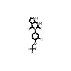 O=c1c2cc[nH]c2[nH]c(=S)n1-c1ccc(OCC(F)(F)F)c(Cl)c1